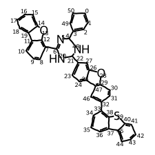 c1ccc(C2N=C(c3cccc4c3oc3ccccc34)NC(c3ccc4c(c3)oc3ccc(-c5cccc6c5sc5ccccc56)cc34)N2)cc1